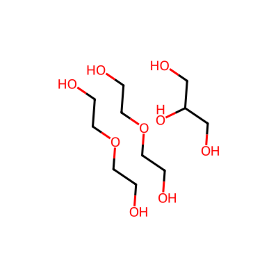 OCC(O)CO.OCCOCCO.OCCOCCO